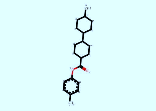 Cc1ccc(OC(=O)C2CCC(C3CC[CH]([RaH])CC3)CC2)cc1